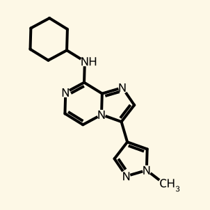 Cn1cc(-c2cnc3c(NC4CCCCC4)nccn23)cn1